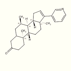 C[C@@H]1CC2CC(=O)CC[C@]2(C)[C@H]2CC[C@]3(C)C(c4cccnc4)=CC[C@H]3[C@H]12